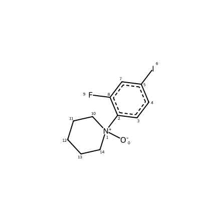 [O-][N+]1(c2ccc(I)cc2F)CCCCC1